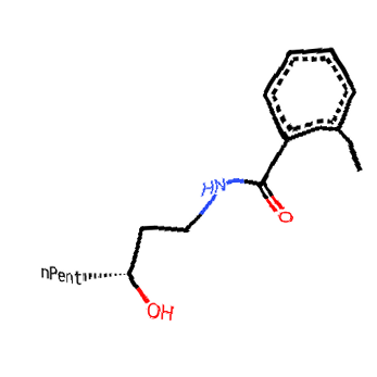 CCCCC[C@@H](O)CCNC(=O)c1ccccc1C